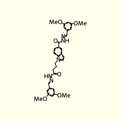 COc1cc(/C=N/NC(=O)CCCn2ccc3cc(C(=O)N/N=C/c4cc(OC)cc(OC)c4)ccc32)cc(OC)c1